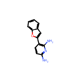 Nc1ccc(-c2cc3ccccc3o2)c(N)n1